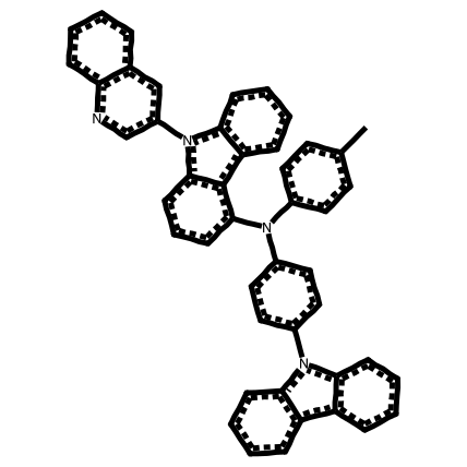 Cc1ccc(N(c2ccc(-n3c4ccccc4c4ccccc43)cc2)c2cccc3c2c2ccccc2n3-c2cnc3ccccc3c2)cc1